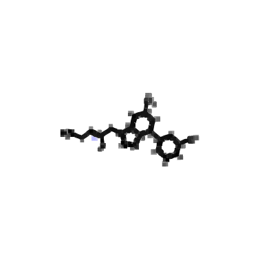 NC/C=C(\F)Cn1nnc2c(-c3cncc(Cl)c3)cc(C(F)(F)F)cc21